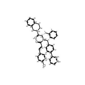 O=C([C@H](Cc1ccccc1)N(Cc1ccc(-c2cccnn2)cc1)C(=O)C=Cc1ccc(Cl)nc1)N1CCc2ccccc2C1